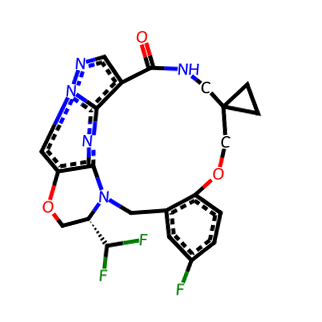 O=C1NCC2(CC2)COc2ccc(F)cc2CN2c3nc4c1cnn4cc3OC[C@H]2C(F)F